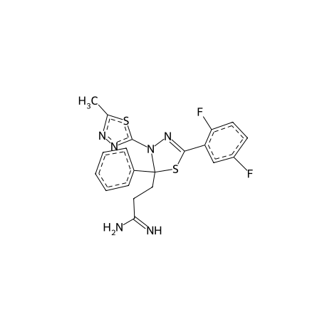 Cc1nnc(N2N=C(c3cc(F)ccc3F)SC2(CCC(=N)N)c2ccccc2)s1